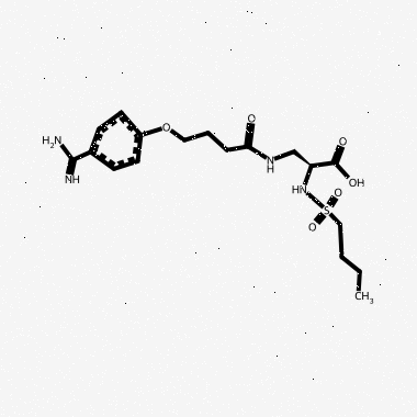 CCCCS(=O)(=O)N[C@@H](CNC(=O)CCCOc1ccc(C(=N)N)cc1)C(=O)O